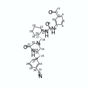 CC(=O)c1cccc(NC(=O)N[C@@H]2CCCC[C@H]2CN2CC(=O)N[C@@H](Cc3cccc(C#N)c3)C2)c1